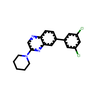 Clc1cc(Cl)cc(-c2ccc3ncc(N4CCCCC4)nc3c2)c1